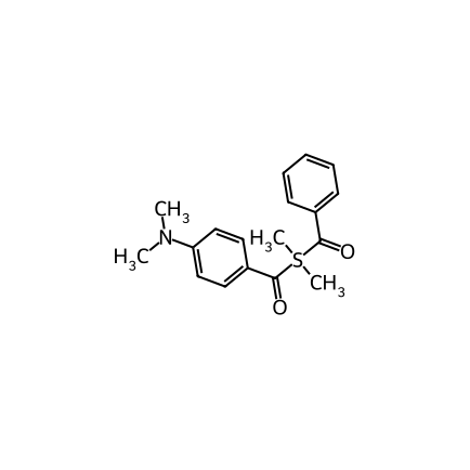 CN(C)c1ccc(C(=O)S(C)(C)C(=O)c2ccccc2)cc1